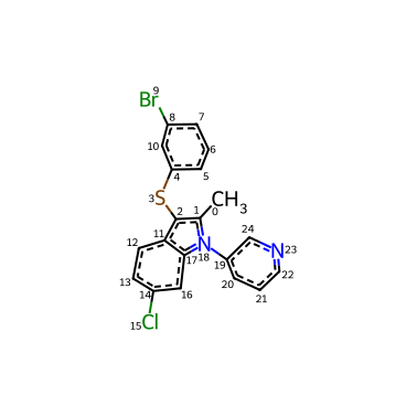 Cc1c(Sc2cccc(Br)c2)c2ccc(Cl)cc2n1-c1cccnc1